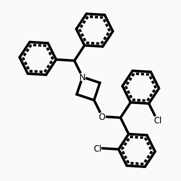 Clc1ccccc1C(OC1CN(C(c2ccccc2)c2ccccc2)C1)c1ccccc1Cl